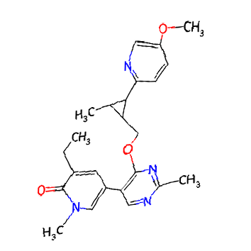 CCc1cc(-c2cnc(C)nc2OCC2C(C)C2c2ccc(OC)cn2)cn(C)c1=O